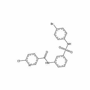 O=C(Nc1cccc(S(=O)(=O)Nc2ccc(Br)cc2)c1)c1ccc(Cl)nc1